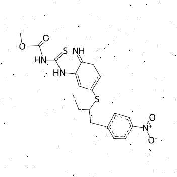 CCC(Cc1ccc([N+](=O)[O-])cc1)SC1=CCC(=N)C(NC(=S)NC(=O)OC)=C1